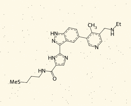 CCNCc1cncc(-c2ccc3[nH]nc(-c4ncc(C(=O)NCCCSC)[nH]4)c3c2)c1C